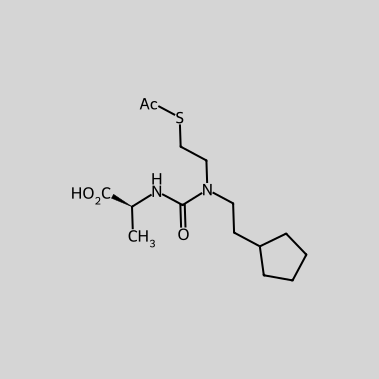 CC(=O)SCCN(CCC1CCCC1)C(=O)N[C@@H](C)C(=O)O